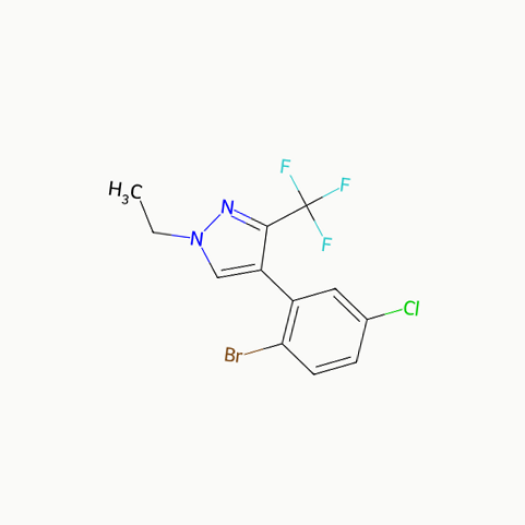 CCn1cc(-c2cc(Cl)ccc2Br)c(C(F)(F)F)n1